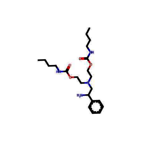 CCCCNC(=O)OCCN(CCOC(=O)NCCCC)CC(N)c1ccccc1